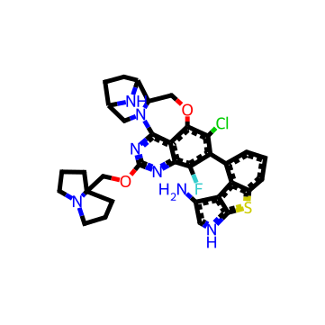 Nc1c[nH]c2sc3cccc(-c4c(Cl)c5c6c(nc(OCC78CCCN7CCC8)nc6c4F)N4CC6CCC(N6)C4CO5)c3c12